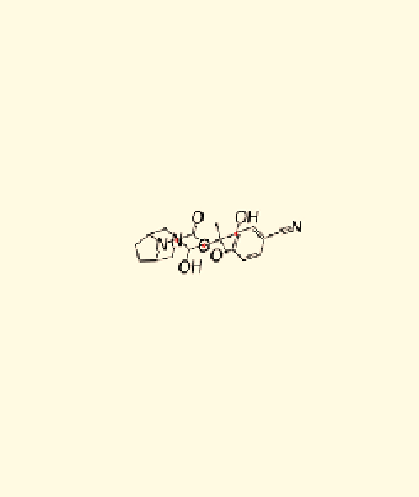 CC(C)(CO)OC(=O)N1CC2CCC(C1)N2CC(O)COc1ccc(C#N)cc1